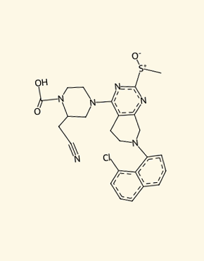 C[S+]([O-])c1nc2c(c(N3CCN(C(=O)O)C(CC#N)C3)n1)CCN(c1cccc3cccc(Cl)c13)C2